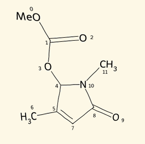 COC(=O)OC1C(C)=CC(=O)N1C